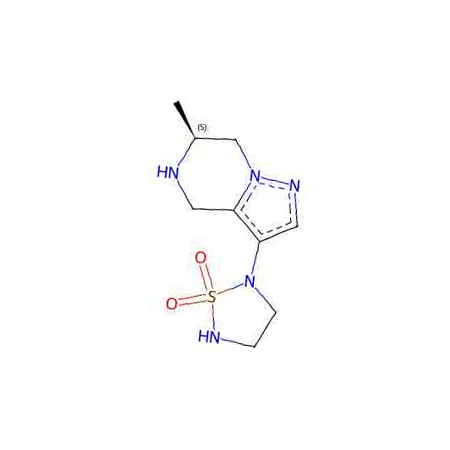 C[C@H]1Cn2ncc(N3CCNS3(=O)=O)c2CN1